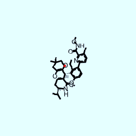 CCc1c(-c2ccc(C)c(C(=O)NOC)n2)ccc(OC)c1[C@H]1C2=C(CC(C)(C)CC2=O)OC2=C1C(=O)N[C@@H](C(C)C)C2